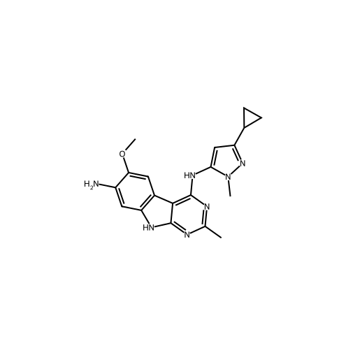 COc1cc2c(cc1N)[nH]c1nc(C)nc(Nc3cc(C4CC4)nn3C)c12